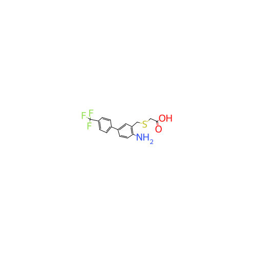 Nc1ccc(-c2ccc(C(F)(F)F)cc2)cc1CSCC(=O)O